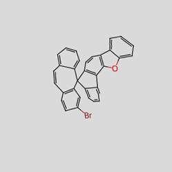 Brc1ccc2c(c1)C1(c3ccccc3C=C2)c2ccccc2-c2c1ccc1c2oc2ccccc21